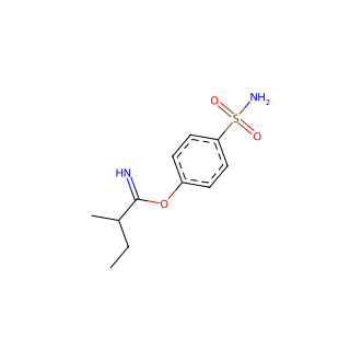 CCC(C)C(=N)Oc1ccc(S(N)(=O)=O)cc1